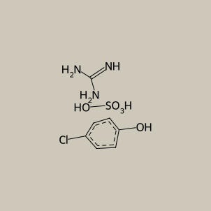 N=C(N)N.O=S(=O)(O)O.Oc1ccc(Cl)cc1